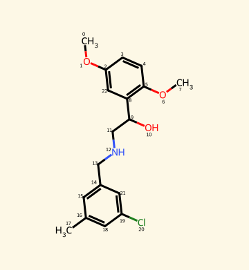 COc1ccc(OC)c(C(O)CNCc2cc(C)cc(Cl)c2)c1